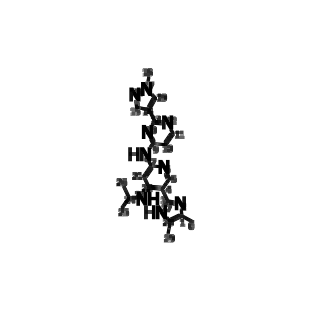 Cc1nc(-c2cnc(Nc3ccnc(-c4cnn(C)c4)n3)cc2NC(C)C)[nH]c1C